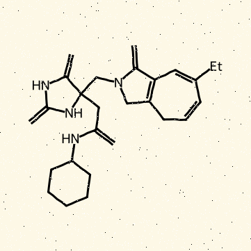 C=C(CC1(CN2CC3=C(C=C(CC)C=CC3)C2=C)NC(=C)NC1=C)NC1CCCCC1